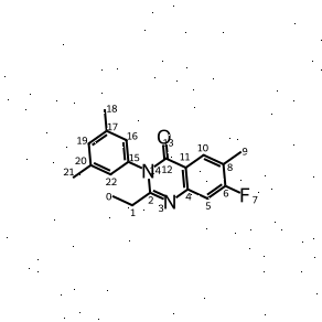 CCc1nc2cc(F)c(C)cc2c(=O)n1-c1cc(C)cc(C)c1